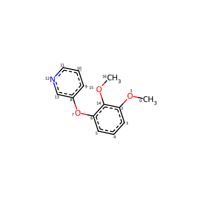 COc1cccc(Oc2c[c]cnc2)c1OC